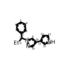 CCC(c1ccccc1)n1cc(-c2cc[nH]c2)cn1